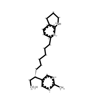 Cc1ncc([C@@H](CCCCCCc2ccc3c(n2)NCCC3)CC(=O)O)cn1